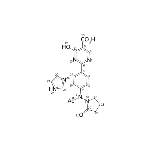 CC(=O)N(c1ccc(-c2ncc(C(=O)O)c(O)n2)cc1)N1CCCC1=O.c1c[nH]cn1